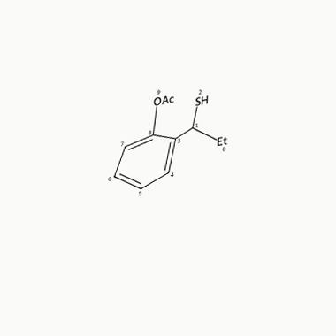 CCC(S)c1ccccc1OC(C)=O